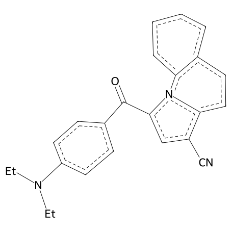 CCN(CC)c1ccc(C(=O)c2cc(C#N)c3ccc4ccccc4n23)cc1